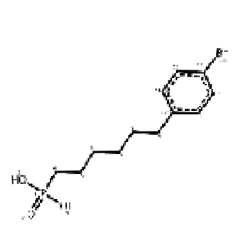 O=P(O)(O)CCCCCCc1ccc(Br)cc1